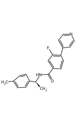 Cc1ccc([C@H](C)NC(=O)c2ccc(-c3ccncc3)c(F)c2)cc1